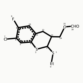 CCSC1Sc2cc(Cl)c(F)cc2CC1COC=O